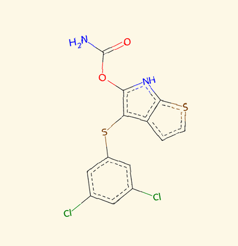 NC(=O)Oc1[nH]c2sccc2c1Sc1cc(Cl)cc(Cl)c1